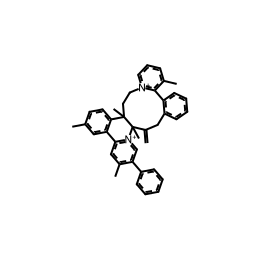 C=C1Cc2ccccc2-c2c(C)ccc[n+]2CCC2(C)c3ccc(C)cc3-c3cc(C)c(-c4ccccc4)c[n+]3C12C